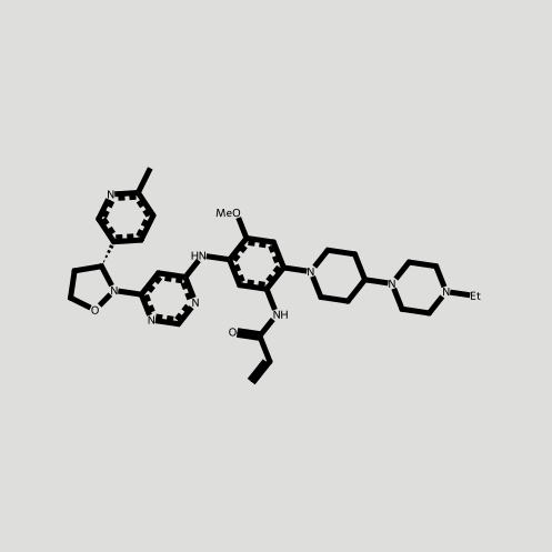 C=CC(=O)Nc1cc(Nc2cc(N3OCC[C@@H]3c3ccc(C)nc3)ncn2)c(OC)cc1N1CCC(N2CCN(CC)CC2)CC1